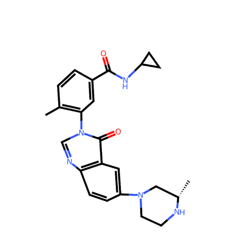 Cc1ccc(C(=O)NC2CC2)cc1-n1cnc2ccc(N3CCN[C@@H](C)C3)cc2c1=O